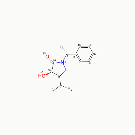 CC(F)C1CN([C@H](C)c2ccccc2)C(=O)[C@@H]1O